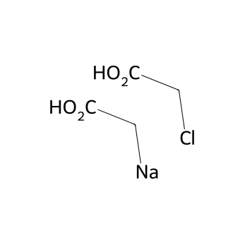 O=C(O)CCl.O=C(O)[CH2][Na]